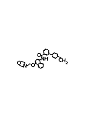 C=Cc1ccc(-c2cccc(C(=O)Nc3ccc(OCCN4CCOCC4)c4ccccc34)c2)cc1